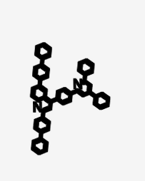 c1ccc(-c2ccc(-c3ccc4nc(-c5ccc(-c6ccccc6)cc5)cc(-c5ccc(-c6cc(-c7ccccc7)cc(-c7ccccc7)n6)cc5)c4c3)cc2)cc1